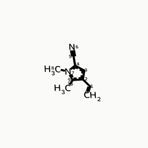 C=Cc1cc(C#N)n(C)c1C